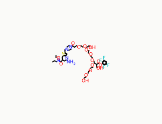 CCCN(OCC)C(=O)C1=Cc2sc(CN3CCN(C(=O)CCOCCOC(CO)OCCOCCOCC(OCCOCCOCCO)C(CO)C(=O)Oc4c(F)c(F)cc(F)c4F)CC3)cc2N=C(N)C1